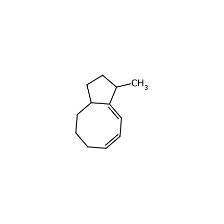 CC1CCC2CCCC=CC=C12